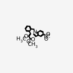 COC(=O)C(=Cc1ccccc1Cn1ccc2cc([N+](=O)[O-])ccc21)OC